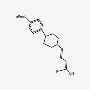 CCCCCc1ccc(C2CCC(C=CC=C(F)C#N)CC2)cc1